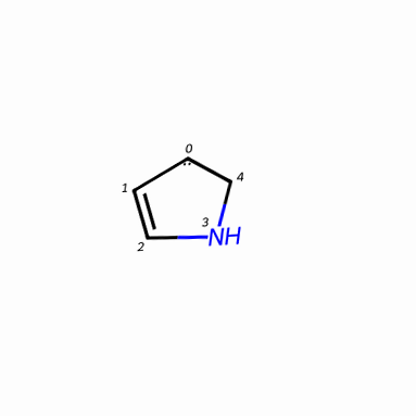 [C]1C=CNC1